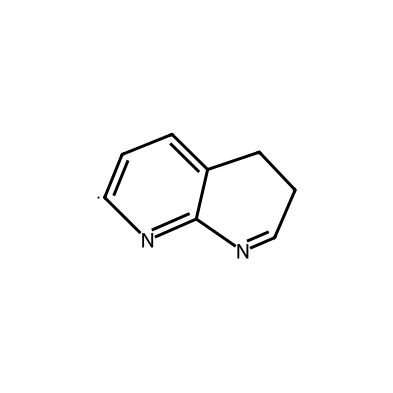 [c]1ccc2c(n1)N=CCC2